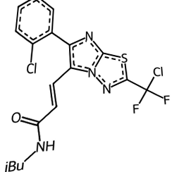 CCC(C)NC(=O)/C=C/c1c(-c2ccccc2Cl)nc2sc(C(F)(F)Cl)nn12